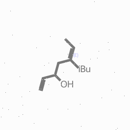 C=CC(O)C/C(=C\C)C(C)CC